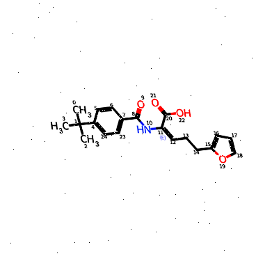 CC(C)(C)c1ccc(C(=O)N/C(=C/CCc2ccco2)C(=O)O)cc1